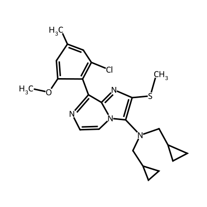 COc1cc(C)cc(Cl)c1-c1nccn2c(N(CC3CC3)CC3CC3)c(SC)nc12